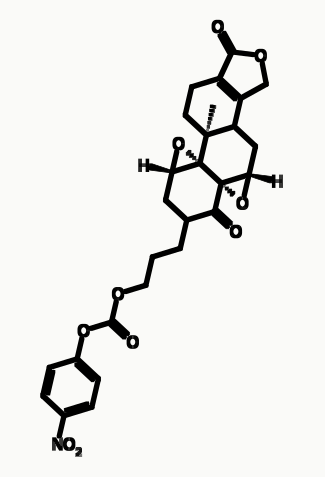 C[C@]12CCC3=C(COC3=O)C1C[C@@H]1O[C@@]13C(=O)C(CCCOC(=O)Oc1ccc([N+](=O)[O-])cc1)C[C@@H]1O[C@]123